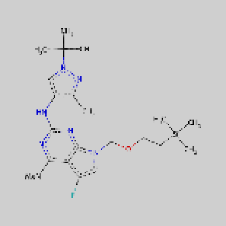 CNc1nc(Nc2cn(C(C)(C)C#N)nc2C)nc2c1c(F)cn2COCC[Si](C)(C)C